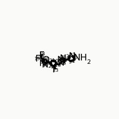 Nc1ccc(-c2cn(Cc3ccc(-c4nnc(C(F)F)o4)cc3F)nn2)cn1